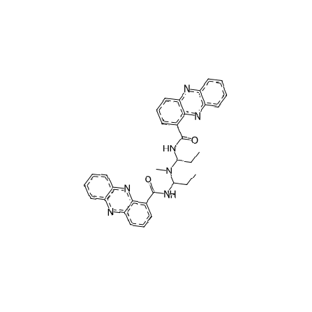 CCC(NC(=O)c1cccc2nc3ccccc3nc12)N(C)C(CC)NC(=O)c1cccc2nc3ccccc3nc12